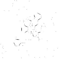 CCn1c(COCc2ccccc2)nn(-c2c(C3(C)CC3)c3ccccc3c(=O)n2-c2c(F)cccc2Cl)c1=O